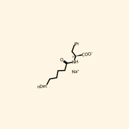 CCCCCCCCCCCCCCC(=O)N[C@@H](CC(C)C)C(=O)[O-].[Na+]